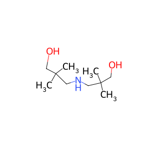 CC(C)(CO)CNCC(C)(C)CO